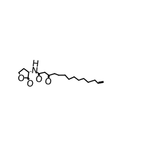 C=CCCCCCCCCCC(=O)CC(=O)N[C@H]1CCOC1=O